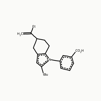 C=C(CC)C1CCc2c(cc(C(C)(C)C)n2-c2cccc(C(=O)O)c2)C1